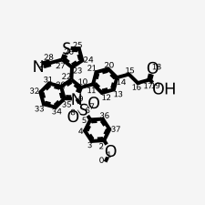 COc1ccc(S(=O)(=O)n2c(-c3ccc(CCC(=O)O)cc3)c(-c3ccsc3C#N)c3ccccc32)cc1